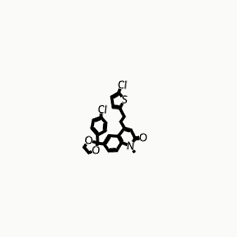 Cn1c(=O)cc(CCc2ccc(Cl)s2)c2cc(C3(c4ccc(Cl)cc4)OCCO3)ccc21